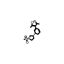 Cc1noc(C)c1C1=CC([C@H]2CCN(S(C)(=O)=O)C2)CC=C1